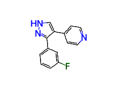 Fc1cccc(-c2n[nH]cc2-c2ccncc2)c1